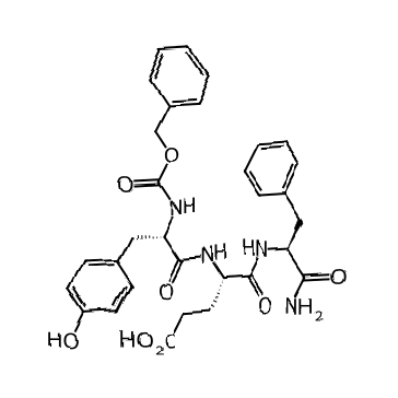 NC(=O)[C@H](Cc1ccccc1)NC(=O)[C@H](CCC(=O)O)NC(=O)[C@H](Cc1ccc(O)cc1)NC(=O)OCc1ccccc1